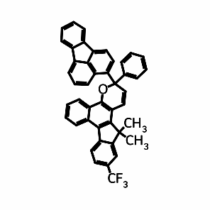 CC1(C)c2cc(C(F)(F)F)ccc2-c2c1c1c(c3ccccc23)OC(c2ccccc2)(c2ccc3c4c(cccc24)-c2ccccc2-3)C=C1